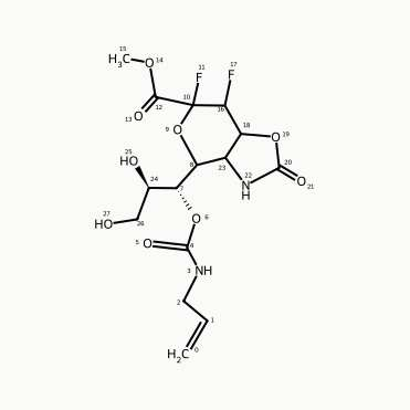 C=CCNC(=O)O[C@@H](C1OC(F)(C(=O)OC)C(F)C2OC(=O)NC21)[C@H](O)CO